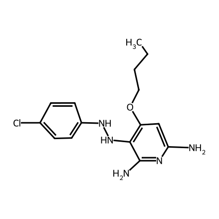 CCCCOc1cc(N)nc(N)c1NNc1ccc(Cl)cc1